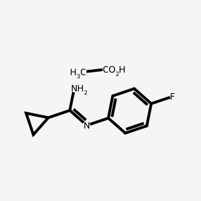 CC(=O)O.NC(=Nc1ccc(F)cc1)C1CC1